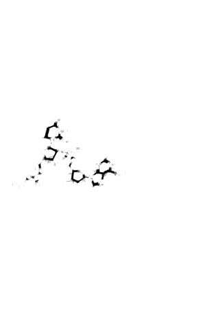 CO[PH](=O)OC[C@H]1O[C@@H](n2ccc(=O)[nH]c2=O)[C@H](OP(=O)(O)OC[C@H]2O[C@@H](n3cnc4c(N)ncnc43)C[C@@H]2F)[C@@H]1F